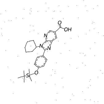 CC(C)(C)[Si](C)(C)Oc1ccc(-c2nc3cc(C(=O)O)cnc3n2C2CCCCC2)cc1